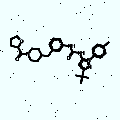 Cc1ccc(-n2nc(C(C)(C)C)cc2NC(=O)Nc2cccc(CC3CCN(C(=O)C4CCCO4)CC3)c2)cc1